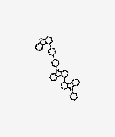 c1ccc(-n2c3ccccc3c3c(-c4cccc5c4c4ccccc4n5-c4ccc(-c5ccc(-c6cccc7oc8ccccc8c67)cc5)cc4)cccc32)cc1